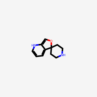 C1=CNC2=COC3(CCNCC3)C2=C1